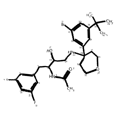 CC(=O)NC(Cc1cc(F)cc(F)c1)C(O)CNC1(c2cc(Br)cc(C(C)(C)C)c2)CCOCC1